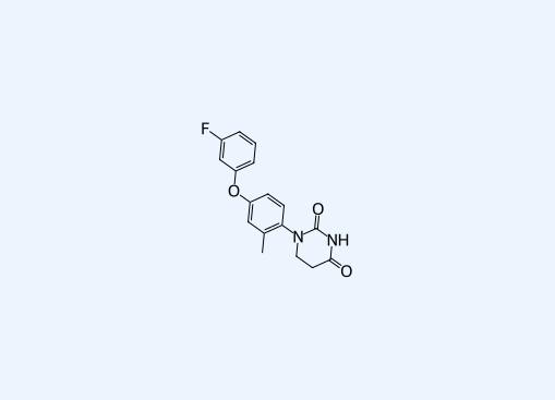 Cc1cc(Oc2cccc(F)c2)ccc1N1CCC(=O)NC1=O